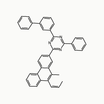 C/C=C\c1c(C)c2cc(-c3nc(-c4ccccc4)nc(-c4cccc(-c5ccccc5)c4)n3)ccc2c2ccccc12